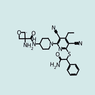 CCc1c(C#N)c(SC(C(N)=O)c2ccccc2)nc(N2CCC(NC(=O)C3(N)[CH]OC3)CC2)c1C#N